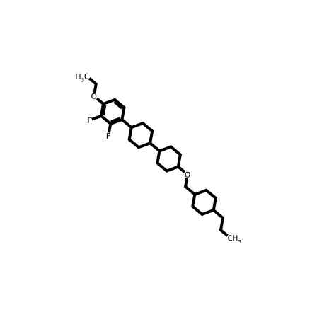 CCCC1CCC(COC2CCC(C3CCC(c4ccc(OCC)c(F)c4F)CC3)CC2)CC1